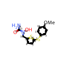 COc1ccc(Sc2ccc(CN(O)C(N)=O)s2)cc1